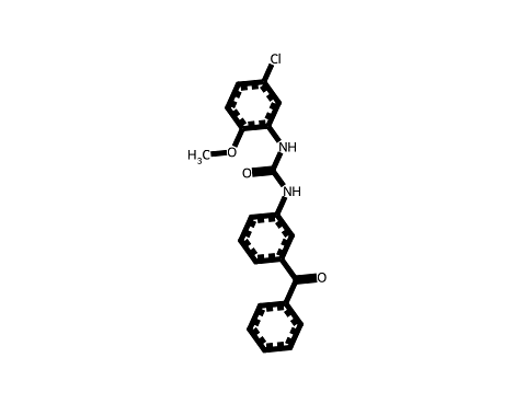 COc1ccc(Cl)cc1NC(=O)Nc1cccc(C(=O)c2ccccc2)c1